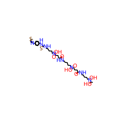 CC(O)N(O)CCCCCNC(=O)CCC(=O)N(O)CCCCCNC(=O)CCC(=O)N(O)CCCCCNC(=S)Nc1ccc(N=C=S)cc1